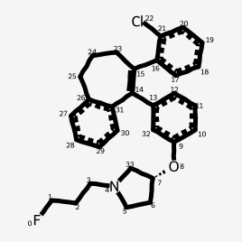 FCCCN1CC[C@@H](Oc2cccc(C3=C(c4ccccc4Cl)CCCc4ccccc43)c2)C1